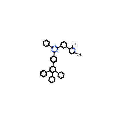 Cc1ccc(-c2cccc(-c3nc(-c4ccccc4)nc(-c4ccc(-c5cc(-c6ccccc6)c(-c6ccccc6)c(-c6ccccc6)c5)cc4)n3)c2)c(C)n1